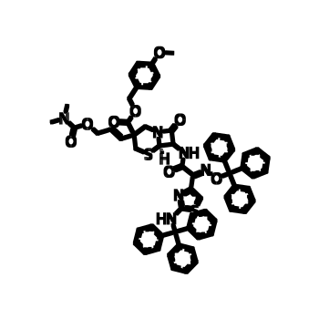 COc1ccc(COC(=O)C2(C=CCOC(=O)N(C)C)CS[C@@H]3C(NC(=O)C(=NOC(c4ccccc4)(c4ccccc4)c4ccccc4)c4csc(NC(c5ccccc5)(c5ccccc5)c5ccccc5)n4)C(=O)N3C2)cc1